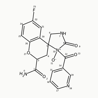 NC(=O)C1CC2(CNC(=O)[N+]2([O-])C(=O)c2cccnc2)c2cc(F)ccc2O1